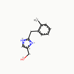 Cc1ccccc1Cc1nc(CO)c[nH]1